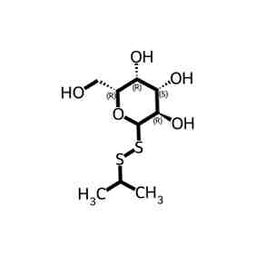 CC(C)SSC1O[C@H](CO)[C@H](O)[C@H](O)[C@H]1O